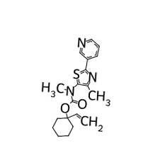 C=CC1(OC(=O)N(C)c2sc(-c3cccnc3)nc2C)CCCCC1